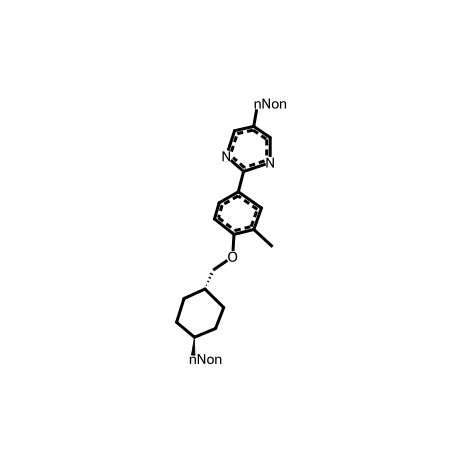 CCCCCCCCCc1cnc(-c2ccc(OC[C@H]3CC[C@H](CCCCCCCCC)CC3)c(C)c2)nc1